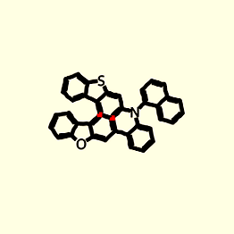 c1ccc(N(c2ccc3c(c2)sc2ccccc23)c2cccc3ccccc23)c(-c2ccc3c(c2)oc2ccccc23)c1